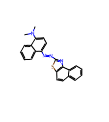 CN(C)c1ccc(/N=N/c2nc3c(ccc4ccccc43)s2)c2ccccc12